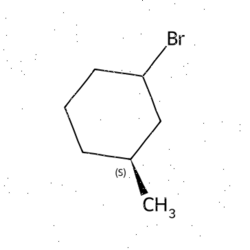 C[C@H]1CCCC(Br)C1